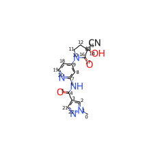 Cn1cc(C(=O)Nc2cc(N3CC[C@](O)(C#N)C3=O)ccn2)cn1